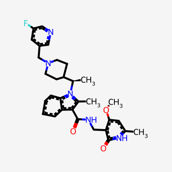 COc1cc(C)[nH]c(=O)c1CNC(=O)c1c(C)n([C@H](C)C2CCN(Cc3cncc(F)c3)CC2)c2ccccc12